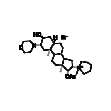 CC(=O)O[C@H]1[C@@H]([N+]2(C)CCCCC2)CC2C3CC[C@H]4C[C@H](O)[C@@H](N5CCOCC5)C[C@]4(C)C3CC[C@@]21C.[Br-]